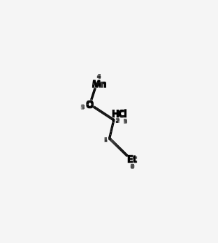 CCCC[O][Mn].Cl